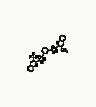 Cc1cc2ccccc2nc1-c1nnc(-c2cccc(-c3nnc(-c4nc5ccccc5cc4C(F)(F)F)o3)c2)o1